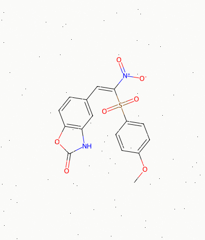 COc1ccc(S(=O)(=O)C(=Cc2ccc3oc(=O)[nH]c3c2)[N+](=O)[O-])cc1